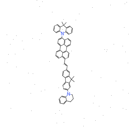 CC1(C)c2cc(/C=C/c3ccc4c5cccc6c(N7c8ccccc8C(C)(C)c8ccccc87)ccc(c7cccc3c47)c65)ccc2-c2ccc(N3CCCc4ccccc43)cc21